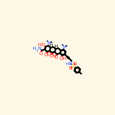 Cc1ccc(S(=O)(=O)NCC#Cc2cc(N(C)C)c3c(c2O)C(=O)C2=C(O)[C@]4(O)C(=O)C(C(N)=O)=C(O)[C@@H](N(C)C)[C@@H]4C[C@@H]2C3)cc1